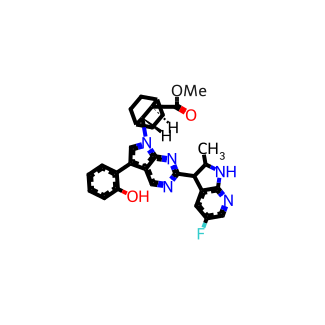 COC(=O)[C@@H]1C2CCC(CC2)[C@H]1n1cc(-c2ccccc2O)c2cnc(C3c4cc(F)cnc4NC3C)nc21